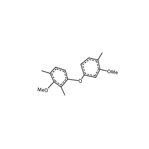 COc1cc(Oc2ccc(C)c(OC)c2C)ccc1C